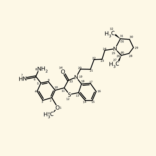 COc1ccc(C(=N)N)cc1C1Sc2ccccc2N(CCCCCN2[C@H](C)CCC[C@@H]2C)C1=O